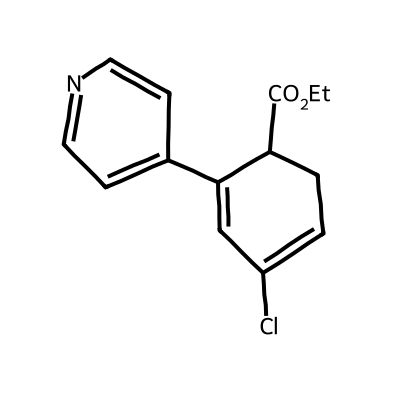 CCOC(=O)C1CC=C(Cl)C=C1c1ccncc1